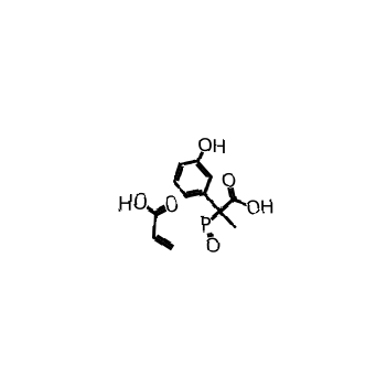 C=CC(=O)O.CC(P=O)(C(=O)O)c1cccc(O)c1